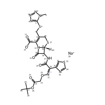 Cn1nnnc1SCC1=C(C(=O)[O-])N2C(=O)C(NC(=O)/C(=N\OCC(=O)OC(C)(C)C)c3cscn3)[C@H]2SC1.[Na+]